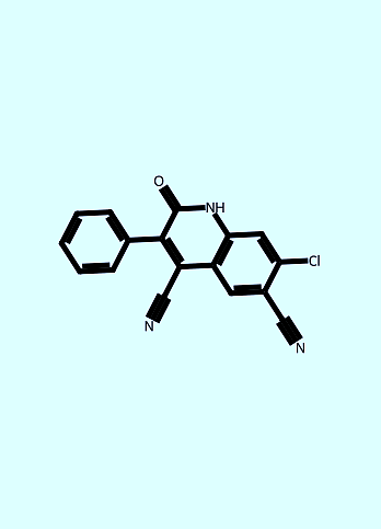 N#Cc1cc2c(C#N)c(-c3ccccc3)c(=O)[nH]c2cc1Cl